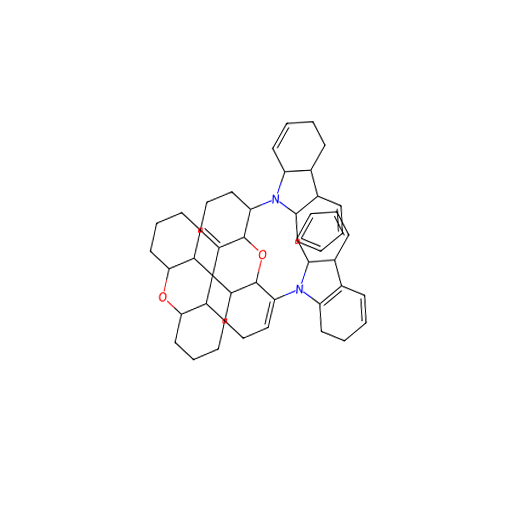 C1=CC2C3=C(CCC=C3)N(C3=CCCC4C3OC3C(=CCCC3N3C5C=CC=CC5C5CCC=CC53)C43C4CCCCC4OC4CCCCC43)C2C=C1